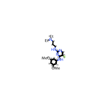 CCN(CC)CCCNc1ncc(F)c(Nc2cc(OC)cc(OC)c2)n1